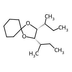 CCC(C)[C@H]1OC2(CCCCC2)O[C@H]1C(C)CC